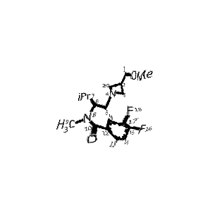 COCC1CN(CC(C(C)C)N(C)C(=O)c2ccc(F)c(F)c2)C1